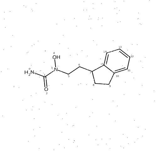 NC(=O)N(O)CCC1CCc2ccccc21